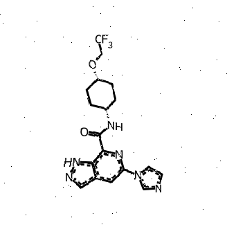 O=C(N[C@H]1CC[C@@H](OCC(F)(F)F)CC1)c1nc(-n2ccnc2)cc2cn[nH]c12